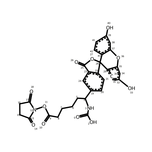 O=C(O)NC(CCCCC(=O)ON1C(=O)CCC1=O)c1ccc2c(c1)C(=O)OC21c2ccc(O)cc2Oc2cc(O)ccc21